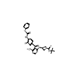 CC(C)(C)OC(=O)N1CC(n2nc(-c3ccc(NC(=O)Oc4ccccc4)c(F)c3)c3c(N)ncnc32)C1